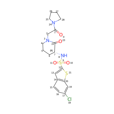 O=C(CN1CCC[C@@H](NS(=O)(=O)c2cc3ccc(Cl)cc3s2)C1=O)N1CCCC1